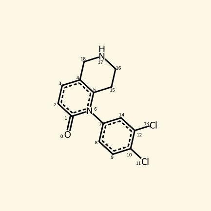 O=c1ccc2c(n1-c1ccc(Cl)c(Cl)c1)CCNC2